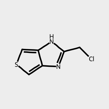 ClCc1nc2cscc2[nH]1